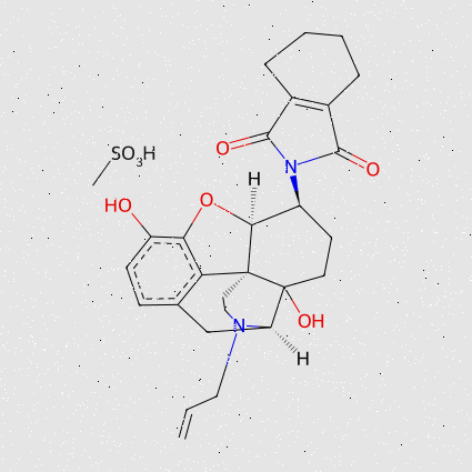 C=CCN1CC[C@]23c4c5ccc(O)c4O[C@H]2[C@@H](N2C(=O)C4=C(CCCC4)C2=O)CCC3(O)[C@H]1C5.CS(=O)(=O)O